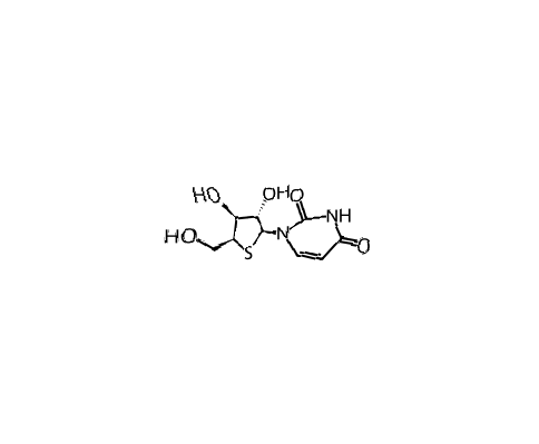 O=c1ccn([C@H]2S[C@@H](CO)[C@@H](O)[C@@H]2O)c(=O)[nH]1